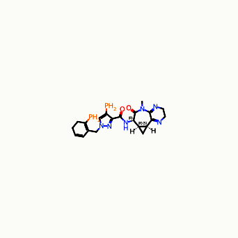 CN1C(=O)[C@H](NC(=O)c2nn(CC3=C(P)CCC=C3)cc2P)[C@@H]2C[C@@H]2C2=NCCN=C21